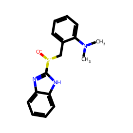 CN(C)c1ccccc1C[S+]([O-])c1nc2ccccc2[nH]1